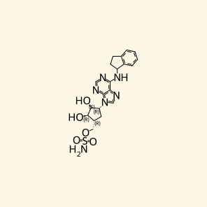 NS(=O)(=O)OC[C@H]1C[C@@H](n2cnc3c(NC4CCc5ccccc54)ncnc32)[C@H](O)[C@@H]1O